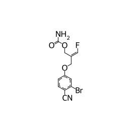 N#Cc1ccc(OCC(=CF)COC(N)=O)cc1Br